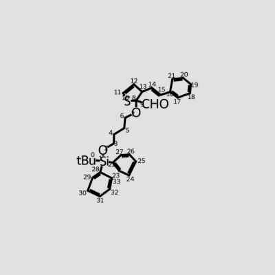 CC(C)(C)[Si](OCCCCOC1(C=O)SC=CC1C=Cc1ccccc1)(c1ccccc1)c1ccccc1